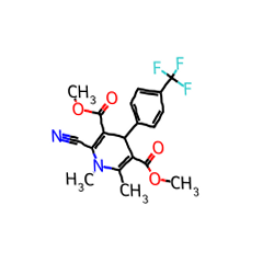 COC(=O)C1=C(C)N(C)C(C#N)=C(C(=O)OC)C1c1ccc(C(F)(F)F)cc1